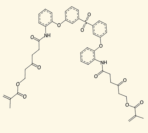 C=C(C)C(=O)OCCC(=O)CCC(=O)Nc1ccccc1Oc1cccc(S(=O)(=O)c2cccc(Oc3ccccc3NC(=O)CCC(=O)CCOC(=O)C(=C)C)c2)c1